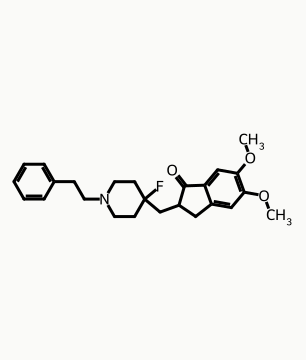 COc1cc2c(cc1OC)C(=O)C(CC1(F)CCN(CCc3ccccc3)CC1)C2